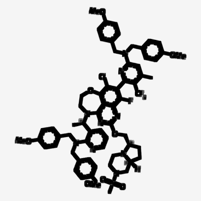 COc1ccc(CN(Cc2ccc(OC)cc2)c2cc(C)c(C(F)(F)F)c(-c3c(Cl)c4c5c(nc(OC[C@H]6CC[C@@H]7CN(S(C)(=O)=O)CCN67)nc5c3F)N([C@H](C)c3cccnc3N(Cc3ccc(OC)cc3)Cc3ccc(OC)cc3)CCO4)n2)cc1